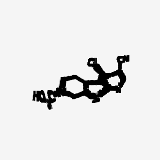 N#Cc1cnc2sc3c(c2c1Cl)CCN(C(=O)O)C3